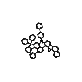 c1ccc(-c2ccc(-c3c(N(c4ccc(-c5ccccc5)cc4)c4ccc5c(c4)C(c4ccccc4)(c4ccccc4)c4ccccc4-5)ccc4c3oc3c5ccccc5ccc43)cc2)cc1